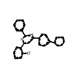 Clc1ccccc1-c1cc(-c2ccc(-c3ccccc3)cc2)nc(-c2ccccc2)n1